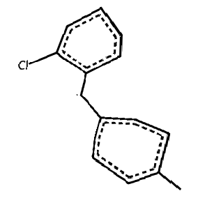 Cc1ccc([CH]c2ccccc2Cl)cc1